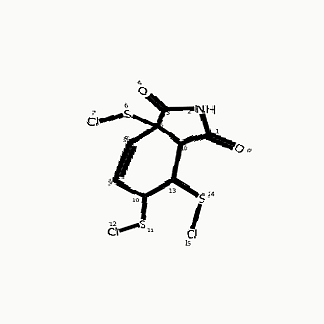 O=C1NC(=O)C2(SCl)C=CC(SCl)C(SCl)C12